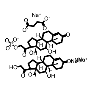 C[C@]12CCC(=O)C=C1CC[C@@H]1[C@@H]2[C@@H](O)C[C@@]2(C)[C@H]1CC[C@]2(O)C(=O)CO.C[C@]12CCC(=O)C=C1CC[C@@H]1[C@@H]2[C@@H](O)C[C@@]2(C)[C@H]1CC[C@]2(O)C(=O)COP(=O)([O-])[O-].O=C([O-])CCC(=O)[O-].[Na+].[Na+].[Na+].[Na+]